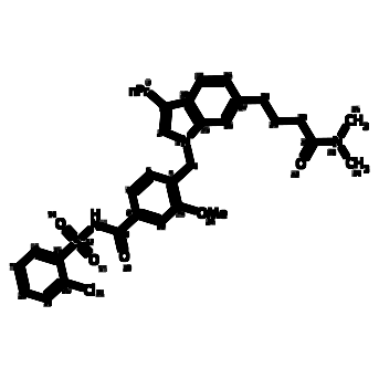 CCCc1cn(Cc2ccc(C(=O)NS(=O)(=O)c3ccccc3Cl)cc2OC)c2cc(CCCC(=O)N(C)C)ccc12